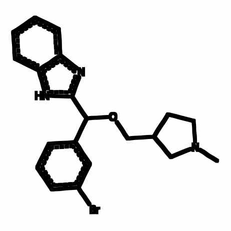 CN1CCC(COC(c2cccc(Br)c2)c2nc3ccccc3[nH]2)C1